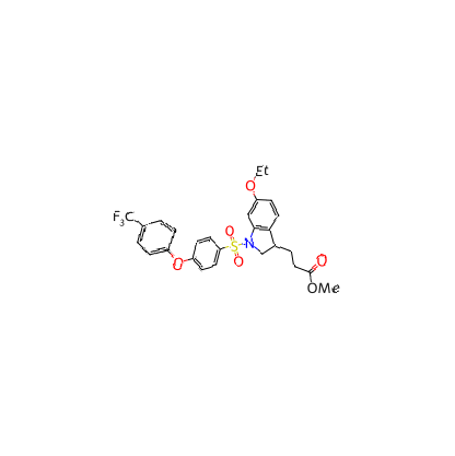 CCOc1ccc2c(c1)N(S(=O)(=O)c1ccc(Oc3ccc(C(F)(F)F)cc3)cc1)CC2CCC(=O)OC